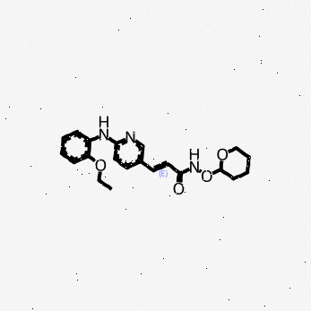 CCOc1ccccc1Nc1ccc(/C=C/C(=O)NOC2CCCCO2)cn1